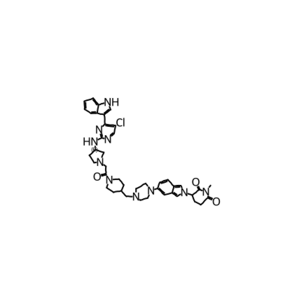 CN1C(=O)CCC(n2cc3ccc(N4CCN(CC5CCN(C(=O)CN6CC[C@@H](Nc7ncc(Cl)c(-c8c[nH]c9ccccc89)n7)C6)CC5)CC4)cc3c2)C1=O